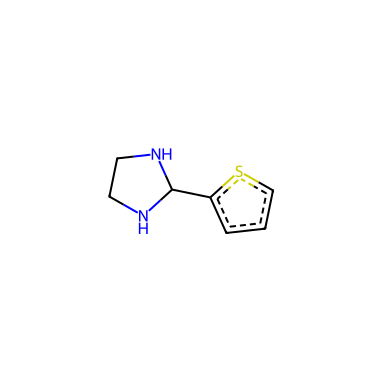 c1csc(C2NCCN2)c1